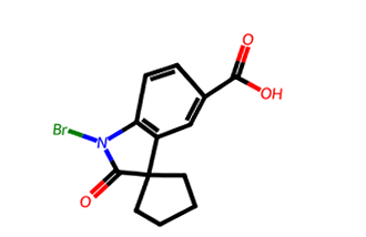 O=C(O)c1ccc2c(c1)C1(CCCC1)C(=O)N2Br